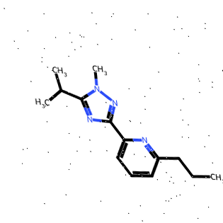 CCCc1cccc(-c2nc(C(C)C)n(C)n2)n1